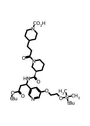 CC(C)(C)OC(=O)CC(NC(=O)[C@@H]1CCCN(C(=O)CCC2CCN(C(=O)O)CC2)C1)c1cncc(OCCO[Si](C)(C)C(C)(C)C)c1